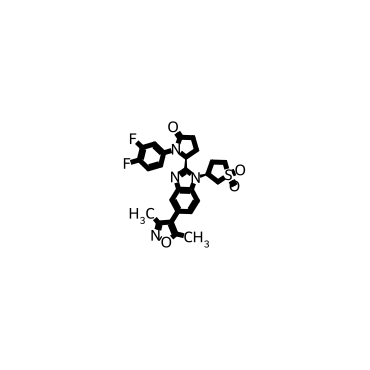 Cc1noc(C)c1-c1ccc2c(c1)nc([C@@H]1CCC(=O)N1c1ccc(F)c(F)c1)n2[C@H]1CCS(=O)(=O)C1